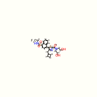 C[C@H](NS(=O)(=O)c1ccc(-c2sc(C(=O)N(CCO)CCO)nc2CC2CCC2)c2ccccc12)C(F)(F)F